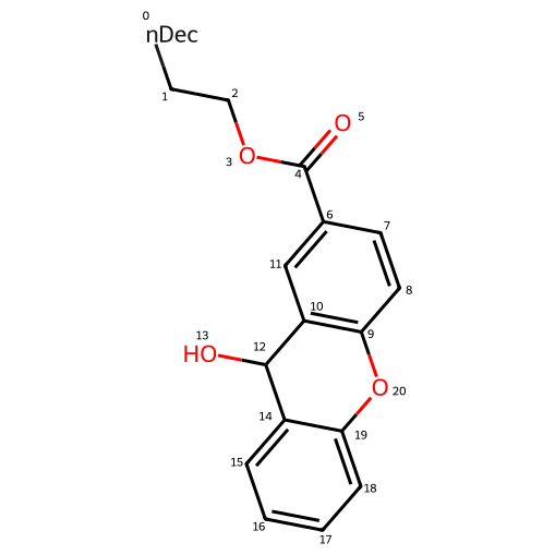 CCCCCCCCCCCCOC(=O)c1ccc2c(c1)C(O)c1ccccc1O2